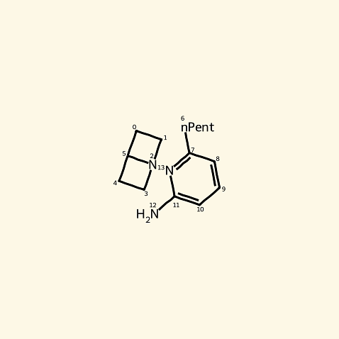 C1CN2CCC12.CCCCCc1cccc(N)n1